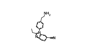 CCc1nc2ccc(C#N)cc2n1-c1ccc(CCN)cc1